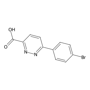 O=C(O)c1ccc(-c2ccc(Br)cc2)nn1